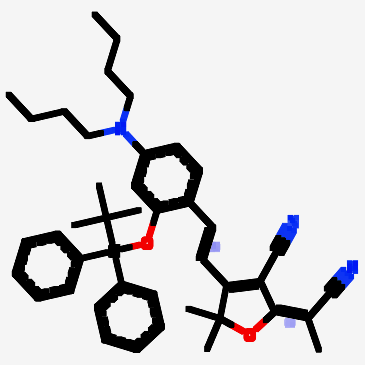 CCCCN(CCCC)c1ccc(/C=C/C2=C(C#N)C(=C(/C)C#N)/OC2(C)C)c(O[Si](c2ccccc2)(c2ccccc2)C(C)(C)C)c1